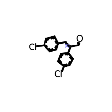 O=C/C(=C/c1ccc(Cl)cc1)c1ccc(Cl)cc1